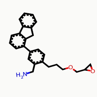 NCc1cc(-c2cccc3c2Cc2ccccc2-3)ccc1CCCOCC1CO1